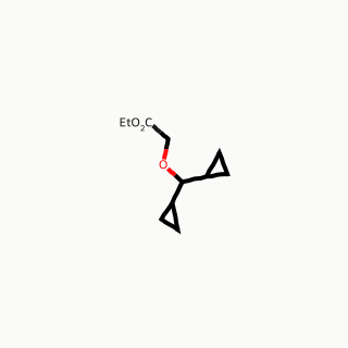 CCOC(=O)COC(C1CC1)C1CC1